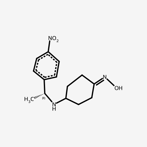 C[C@@H](NC1CCC(=NO)CC1)c1ccc([N+](=O)[O-])cc1